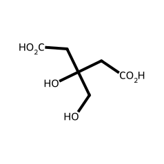 O=C(O)CC(O)(CO)CC(=O)O